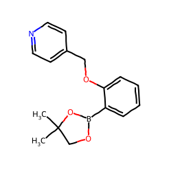 CC1(C)COB(c2ccccc2OCc2ccncc2)O1